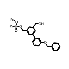 CC(C)OP(=O)(S)OCc1cc(CO)cc(-c2cccc(OCc3ccccc3)c2)c1